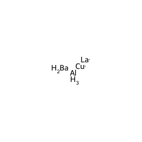 [AlH3].[BaH2].[Cu].[La]